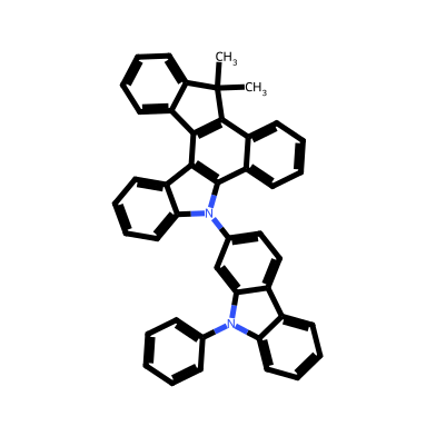 CC1(C)c2ccccc2-c2c1c1ccccc1c1c2c2ccccc2n1-c1ccc2c3ccccc3n(-c3ccccc3)c2c1